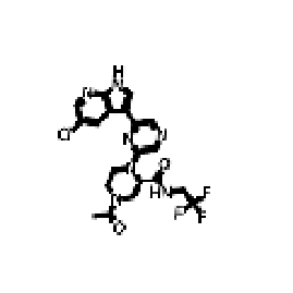 CC(=O)N1CCN(c2cncc(-c3c[nH]c4ncc(Cl)cc34)n2)[C@@H](C(=O)NCC(F)(F)F)C1